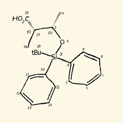 C[C@H](O[Si](c1ccccc1)(c1ccccc1)C(C)(C)C)[C@H](C)C(=O)O